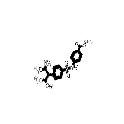 COC(=O)c1ccc(NS(=O)(=O)c2ccc(C(C(C)N)C(C)O)cc2)cc1